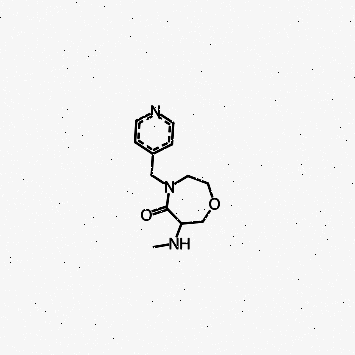 CNC1COCCN(Cc2ccncc2)C1=O